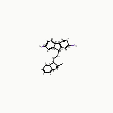 CC1=Cc2ccccc2C1CCC1c2cc(I)ccc2-c2ccc(I)cc21